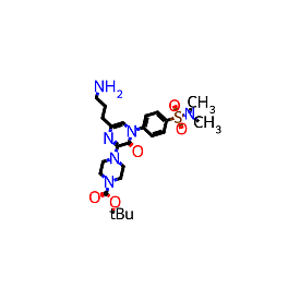 CN(C)S(=O)(=O)c1ccc(-n2cc(CCCN)nc(N3CCN(C(=O)OC(C)(C)C)CC3)c2=O)cc1